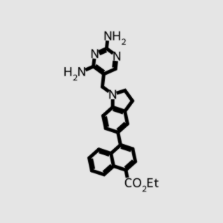 CCOC(=O)c1ccc(-c2ccc3c(c2)CCN3Cc2cnc(N)nc2N)c2ccccc12